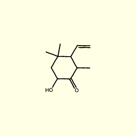 C=CC1C(C)C(=O)C(O)CC1(C)C